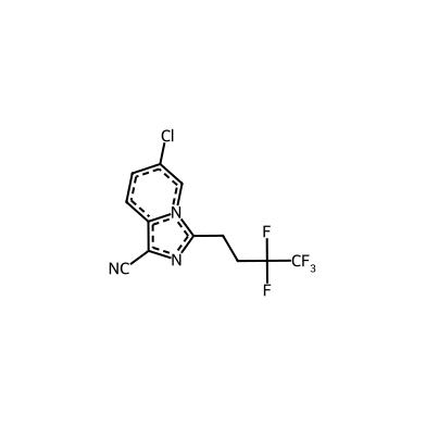 N#Cc1nc(CCC(F)(F)C(F)(F)F)n2cc(Cl)ccc12